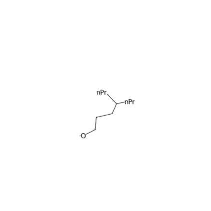 CCCC(CCC)CCC[O]